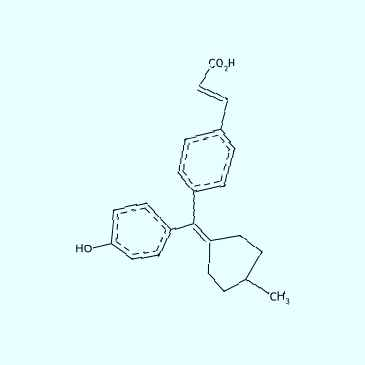 CC1CCC(=C(c2ccc(O)cc2)c2ccc(/C=C/C(=O)O)cc2)CC1